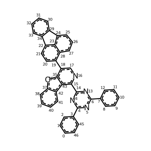 c1ccc(-c2nc(-c3ccccc3)nc(-c3ncc(-c4ccc5c6c(cccc46)-c4ccccc4-5)c4oc5ccccc5c34)n2)cc1